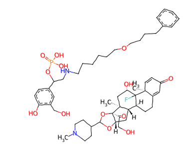 CN1CCC(C2O[C@H]3C[C@H]4[C@@H]5CCC6=CC(=O)C=C[C@]6(C)C5(F)[C@@H](O)C[C@]4(C)[C@]3(C(=O)CO)O2)CC1.O=P(O)(O)OC(CNCCCCCCOCCCCc1ccccc1)c1ccc(O)c(CO)c1